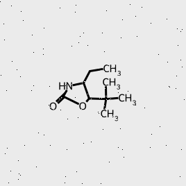 CCC1NC(=O)OC1C(C)(C)C